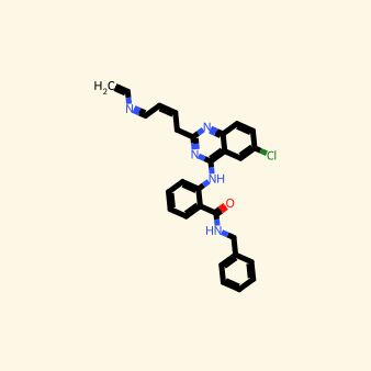 C=C/N=C\C=C/Cc1nc(Nc2ccccc2C(=O)NCc2ccccc2)c2cc(Cl)ccc2n1